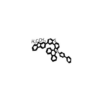 CC1(C)c2ccccc2-c2ccc(-c3ccc4sc5ccc6c(c5c4c3)c3c4ccccc4c4ccccc4c3n6-c3ccc(-c4ccccc4)cc3)cc21